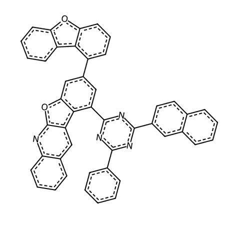 c1ccc(-c2nc(-c3ccc4ccccc4c3)nc(-c3cc(-c4cccc5oc6ccccc6c45)cc4oc5nc6ccccc6cc5c34)n2)cc1